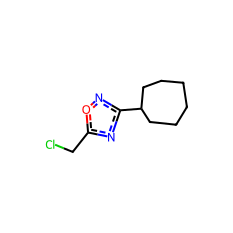 ClCc1nc(C2CCCCCC2)no1